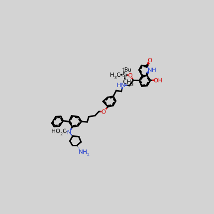 CC(C)(C)[Si](C)(C)OC(CNCCc1ccc(OCCCCc2ccc(-c3ccccc3)c(N(C(=O)O)[C@H]3CC[C@H](N)CC3)c2)cc1)c1ccc(O)c2[nH]c(=O)ccc12